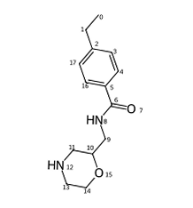 CCc1ccc(C(=O)NCC2CNCCO2)cc1